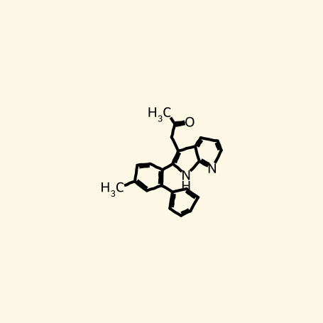 CC(=O)Cc1c(-c2ccc(C)cc2-c2ccccc2)[nH]c2ncccc12